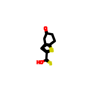 O=C1CCc2sc(C(O)=S)cc2C1